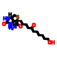 NC(=O)[C@@]1(CCCCC(=O)CCCCCCO)SC[C@@H]2NC(=O)N[C@@H]21